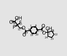 CC1(OC(=O)c2ccc(C(=O)OCC(F)(F)C(=O)O)cc2)CCCC1